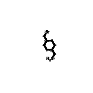 BCC1CCC(CBr)CC1